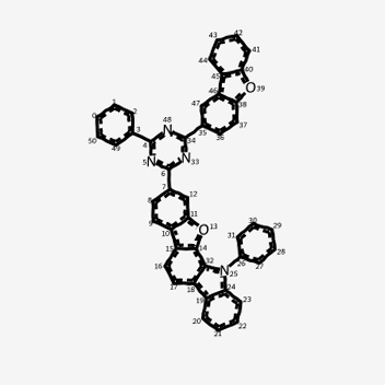 c1ccc(-c2nc(-c3ccc4c(c3)oc3c4ccc4c5ccccc5n(-c5ccccc5)c43)nc(-c3ccc4oc5ccccc5c4c3)n2)cc1